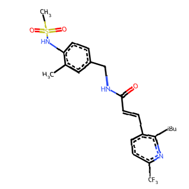 CCC(C)c1nc(C(F)(F)F)ccc1C=CC(=O)NCc1ccc(NS(C)(=O)=O)c(C)c1